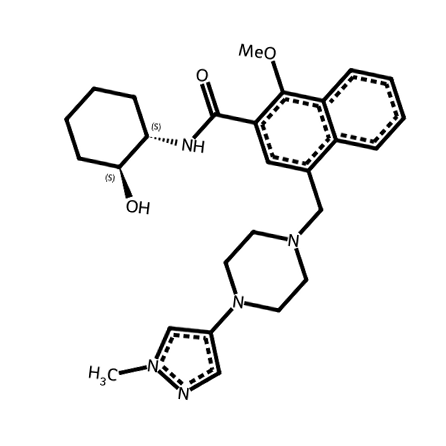 COc1c(C(=O)N[C@H]2CCCC[C@@H]2O)cc(CN2CCN(c3cnn(C)c3)CC2)c2ccccc12